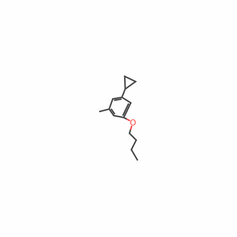 CCCCOc1cc(C)cc(C2CC2)c1